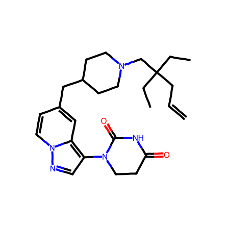 C=CCC(CC)(CC)CN1CCC(Cc2ccn3ncc(N4CCC(=O)NC4=O)c3c2)CC1